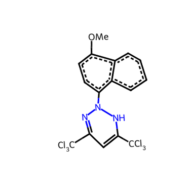 COc1ccc(N2N=C(C(Cl)(Cl)Cl)C=C(C(Cl)(Cl)Cl)N2)c2ccccc12